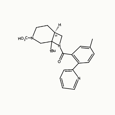 Cc1ccc(-c2ccccn2)c(C(=O)N2C[C@@H]3CCN(C(=O)O)CC32C(C)(C)C)c1